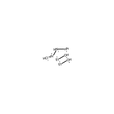 CCCNCCC.CCO.CCO.Cl